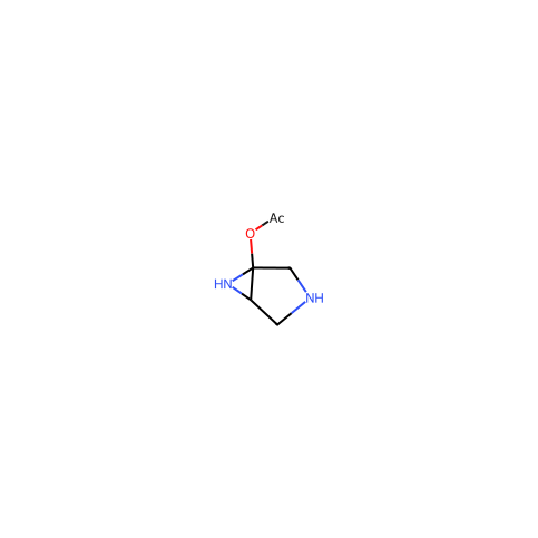 CC(=O)OC12CNCC1N2